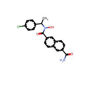 CC(c1ccc(Cl)cc1)N(O)C(=O)c1ccc2cc(C(N)=O)ccc2c1